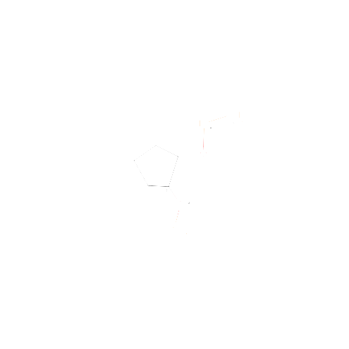 C[C@H]1CC(OP)[C@@H](OPP)C1